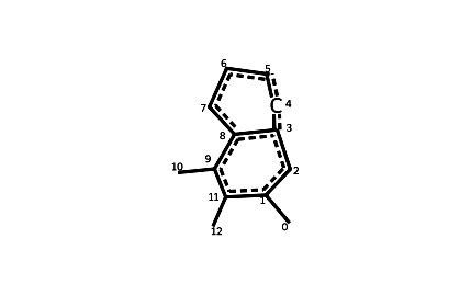 Cc1cc2ccccc2c(C)c1C